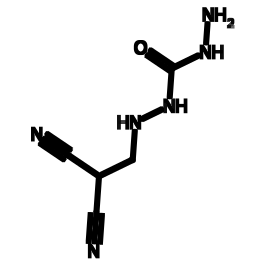 N#CC(C#N)CNNC(=O)NN